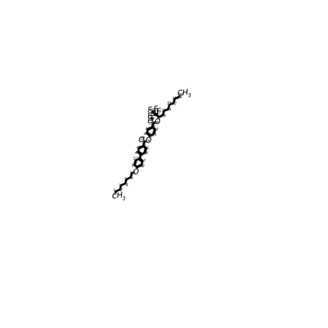 CCCCCCCCOc1ccc(-c2ccc(C(=O)Oc3ccc(C(=O)OC(CCCCCCCC)C(F)(F)C(F)(F)F)cc3)cc2)cc1